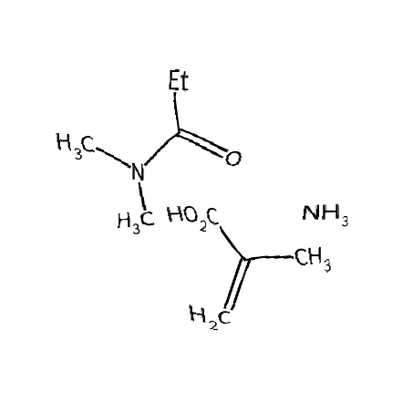 C=C(C)C(=O)O.CCC(=O)N(C)C.N